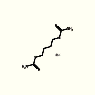 NC(=S)SCCCCSC(N)=S.[Cu]